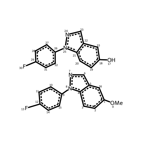 COc1ccc2c(cnn2-c2ccc(F)cc2)c1.Oc1ccc2c(cnn2-c2ccc(F)cc2)c1